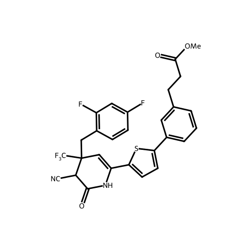 COC(=O)CCc1cccc(-c2ccc(C3=CC(Cc4ccc(F)cc4F)(C(F)(F)F)C(C#N)C(=O)N3)s2)c1